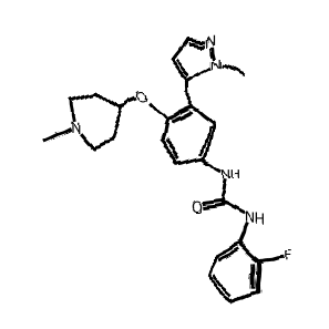 CN1CCC(Oc2ccc(NC(=O)Nc3ccccc3F)cc2-c2ccnn2C)CC1